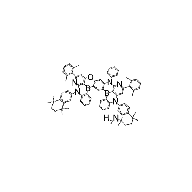 Cc1cccc(C)c1-c1cc2c3c(n1)N(c1ccc4c(c1)C(C)(C)CCC4(C)C)c1ccccc1B3c1cc3c(cc1O2)N(c1ccccc1)c1nc(-c2c(C)cccc2C)cc2c1B3c1ccccc1N2c1ccc2c(c1)C(C)(N)CCC2(C)C